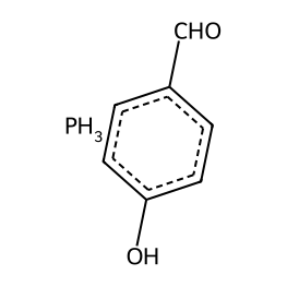 O=Cc1ccc(O)cc1.P